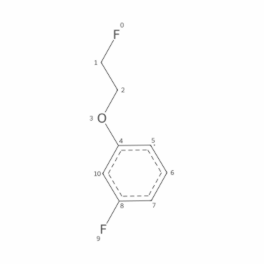 FCCOc1[c]ccc(F)c1